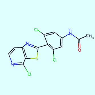 CC(=O)Nc1cc(Cl)c(-c2nc3ccnc(Cl)c3s2)c(Cl)c1